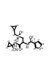 N#CC1(NC(=O)C(CS(=O)(=O)CC2CC2)N[C@H](c2ccsc2)C(F)(F)F)CC1